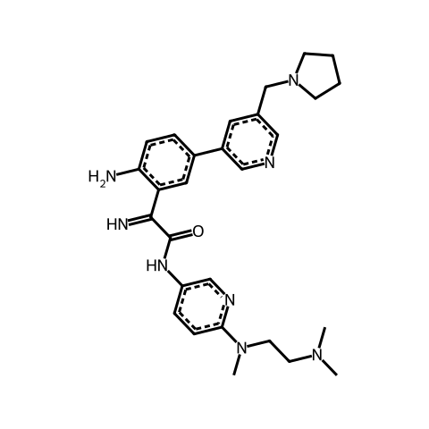 CN(C)CCN(C)c1ccc(NC(=O)C(=N)c2cc(-c3cncc(CN4CCCC4)c3)ccc2N)cn1